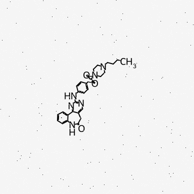 CCCCN1CCN(S(=O)(=O)c2ccc(Nc3ncc4c(n3)-c3ccccc3NC(=O)C4)cc2)CC1